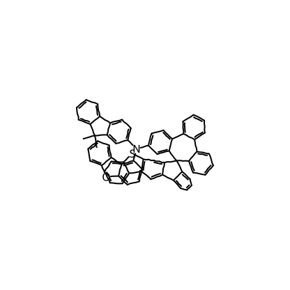 CC1(C)c2ccccc2-c2ccc(N(c3ccc4c(c3)C3(c5ccccc5-c5ccccc5-4)c4ccccc4-c4cc5c(cc43)sc3ccccc35)c3cccc4oc5ccccc5c34)cc21